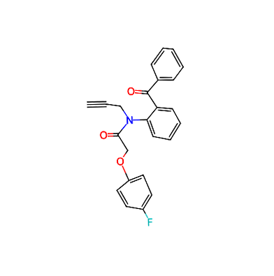 C#CCN(C(=O)COc1ccc(F)cc1)c1ccccc1C(=O)c1ccccc1